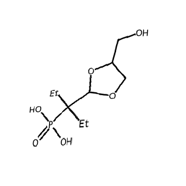 CCC(CC)(C1OCC(CO)O1)P(=O)(O)O